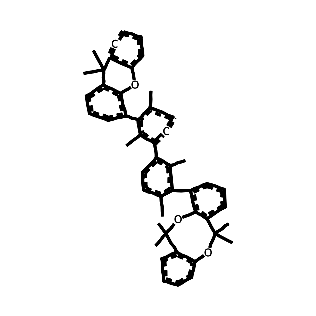 Cc1ccc(-c2ccc(C)c(-c3cccc4c3Oc3ccccc3C4(C)C)c2C)c(C)c1-c1cccc2c1OC(C)(C)c1ccccc1OC2(C)C